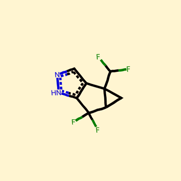 FC(F)C12CC1C(F)(F)c1[nH]ncc12